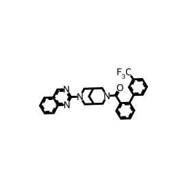 O=C(c1ccccc1-c1cccc(C(F)(F)F)c1)N1CC2CC(C1)CN(c1ncc3ccccc3n1)C2